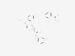 CCCCN1C(=O)C(=NNC(=O)Nc2cccc(F)c2)c2cc(SCCc3ccc(C(=O)O)cc3)ccc21